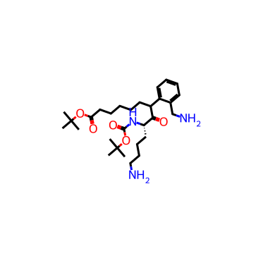 CC(C)(C)OC(=O)CCCCCC(C(=O)[C@H](CCCCN)NC(=O)OC(C)(C)C)c1ccccc1CN